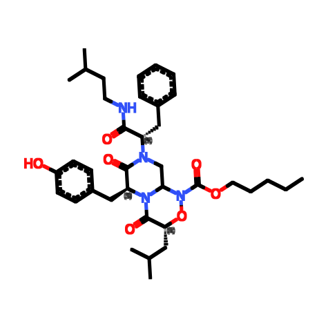 CCCCCOC(=O)N1O[C@H](CC(C)C)C(=O)N2C1CN([C@@H](Cc1ccccc1)C(=O)NCCC(C)C)C(=O)[C@@H]2Cc1ccc(O)cc1